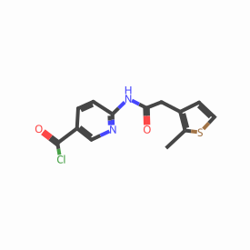 Cc1sccc1CC(=O)Nc1ccc(C(=O)Cl)cn1